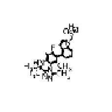 Cc1c(-c2cccc3c2ccn3C[SH](=O)=O)c(F)c(F)c2c1-n1c(C)nnc1C(C)(C)N2